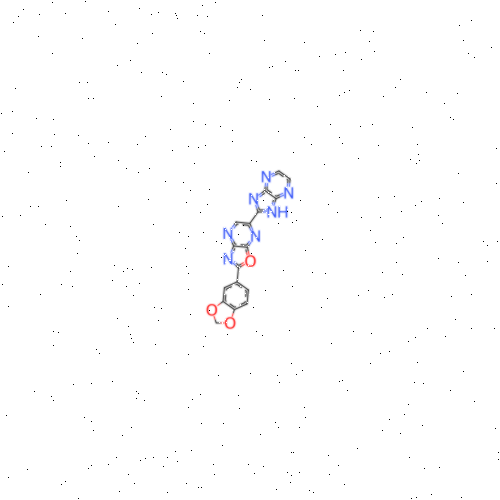 c1cnc2[nH]c(-c3cnc4nc(-c5ccc6c(c5)OCO6)oc4n3)nc2n1